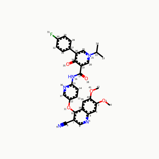 COc1cc2ncc(C#N)c(Oc3ccc(NC(=O)c4cn(C(C)C)cc(-c5ccc(F)cc5)c4=O)nc3)c2cc1OC